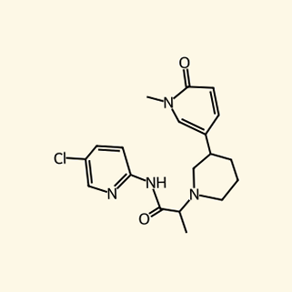 CC(C(=O)Nc1ccc(Cl)cn1)N1CCCC(c2ccc(=O)n(C)c2)C1